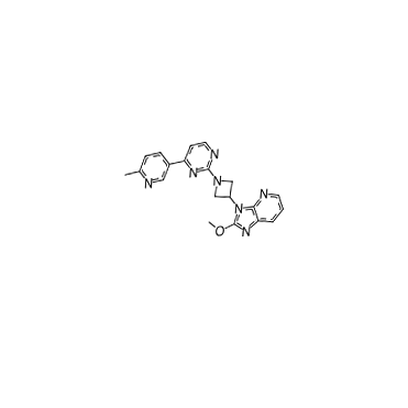 COc1nc2cccnc2n1C1CN(c2nccc(-c3ccc(C)nc3)n2)C1